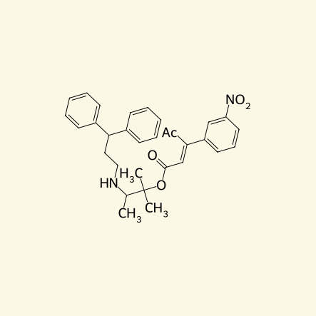 CC(=O)C(=CC(=O)OC(C)(C)C(C)NCCC(c1ccccc1)c1ccccc1)c1cccc([N+](=O)[O-])c1